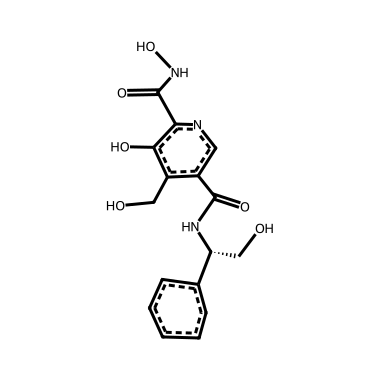 O=C(N[C@H](CO)c1ccccc1)c1cnc(C(=O)NO)c(O)c1CO